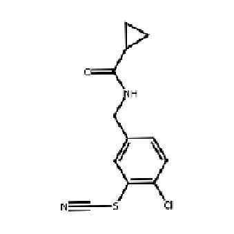 N#CSc1cc(CNC(=O)C2CC2)ccc1Cl